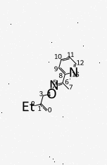 C=C(CC)CO/N=C(\C)c1ccccn1